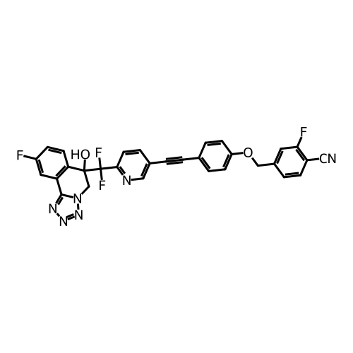 N#Cc1ccc(COc2ccc(C#Cc3ccc(C(F)(F)C4(O)Cn5nnnc5-c5cc(F)ccc54)nc3)cc2)cc1F